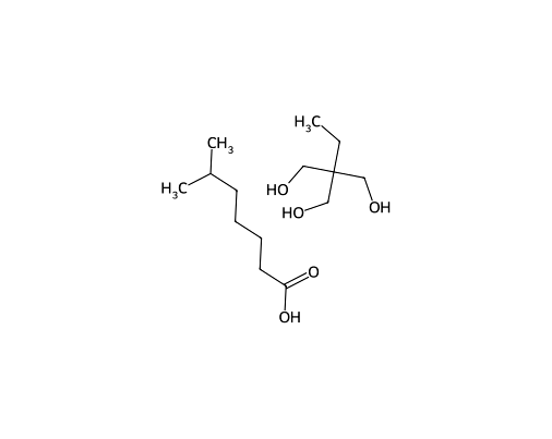 CC(C)CCCCC(=O)O.CCC(CO)(CO)CO